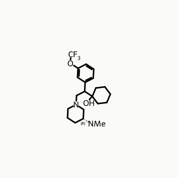 CN[C@@H]1CCCN(CC(c2cccc(OC(F)(F)F)c2)C2(O)CCCCC2)C1